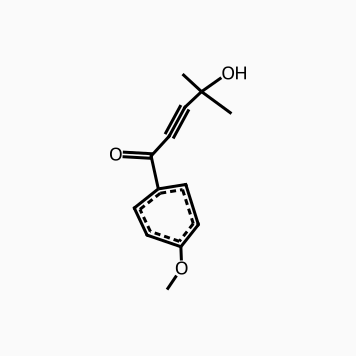 COc1ccc(C(=O)C#CC(C)(C)O)cc1